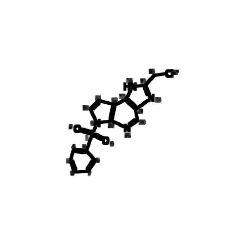 O=S(=O)(c1ccccc1)n1ccc2c3[nH]c(CCl)nc3cnc21